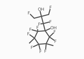 CC1(F)C(F)(F)C(C)(F)C(F)(F)C(O)(C(F)(F)C(O)(CF)CF)C1(F)F